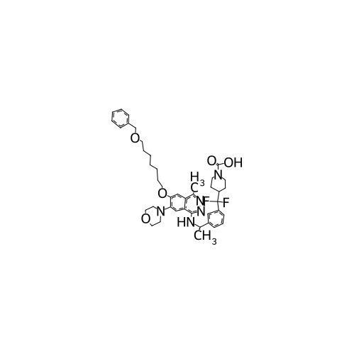 Cc1nnc(N[C@H](C)c2cccc(C(F)(F)C3CCN(C(=O)O)CC3)c2)c2cc(N3CCOCC3)c(OCCCCCCCOCc3ccccc3)cc12